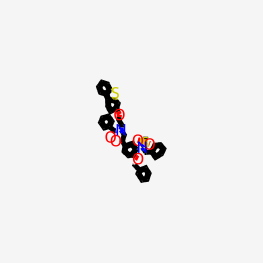 CS(=O)(=O)N(Cc1ccccc1)c1cc(C(=O)CN(CCOc2ccc3c(c2)sc2ccccc23)C(=O)c2ccccc2)ccc1OCc1ccccc1